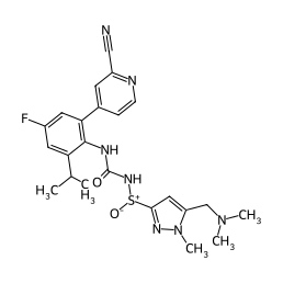 CC(C)c1cc(F)cc(-c2ccnc(C#N)c2)c1NC(=O)N[S+]([O-])c1cc(CN(C)C)n(C)n1